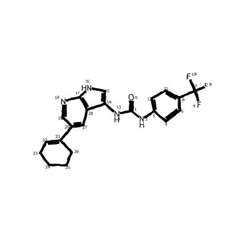 O=C(Nc1ccc(C(F)(F)F)cc1)Nc1c[nH]c2ncc(C3=CCCCC3)cc12